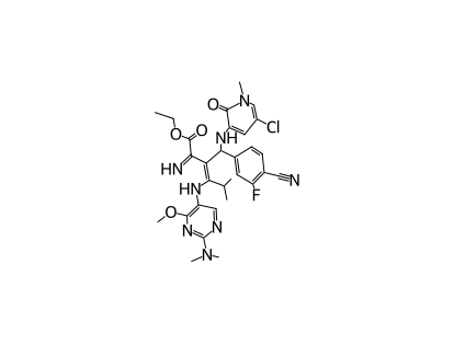 CCOC(=O)C(=N)/C(=C(\Nc1cnc(N(C)C)nc1OC)C(C)C)C(Nc1cc(Cl)cn(C)c1=O)c1ccc(C#N)c(F)c1